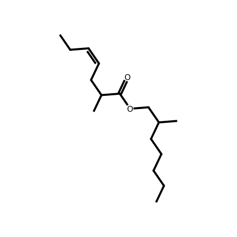 CC/C=C\CC(C)C(=O)OCC(C)CCCCC